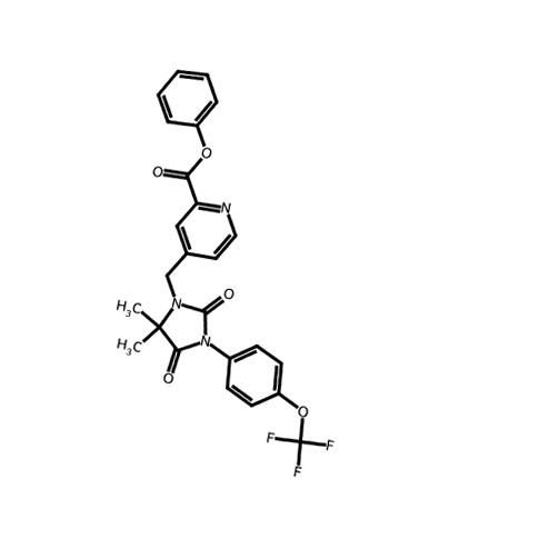 CC1(C)C(=O)N(c2ccc(OC(F)(F)F)cc2)C(=O)N1Cc1ccnc(C(=O)Oc2ccccc2)c1